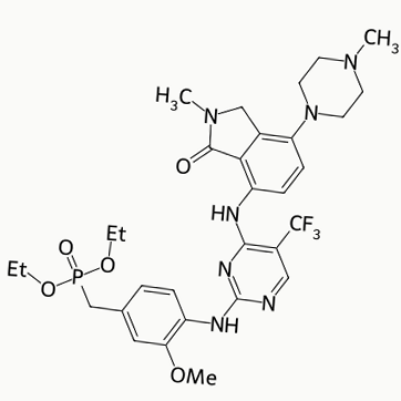 CCOP(=O)(Cc1ccc(Nc2ncc(C(F)(F)F)c(Nc3ccc(N4CCN(C)CC4)c4c3C(=O)N(C)C4)n2)c(OC)c1)OCC